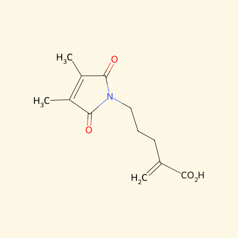 C=C(CCCN1C(=O)C(C)=C(C)C1=O)C(=O)O